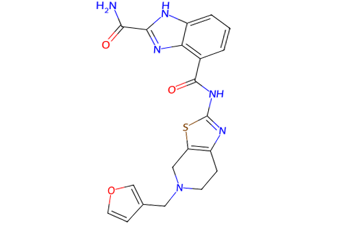 NC(=O)c1nc2c(C(=O)Nc3nc4c(s3)CN(Cc3ccoc3)CC4)cccc2[nH]1